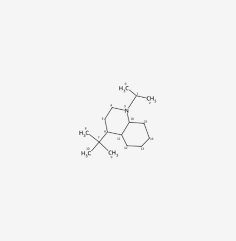 CC(C)N1CCC(C(C)(C)C)C2CCCCC21